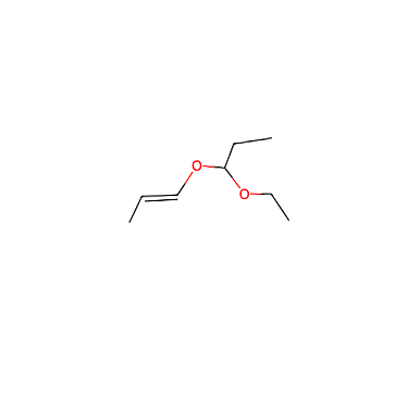 CC=COC(CC)OCC